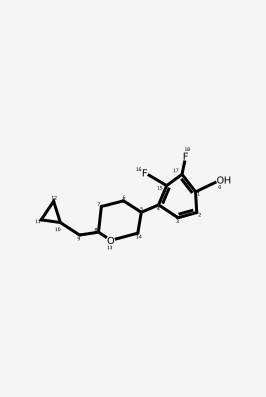 Oc1ccc(C2CCC(CC3CC3)OC2)c(F)c1F